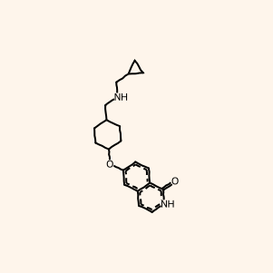 O=c1[nH]ccc2cc(OC3CCC(CNCC4CC4)CC3)ccc12